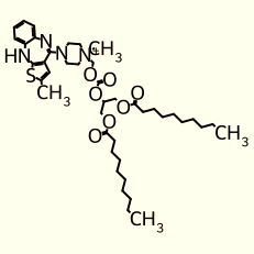 CCCCCCCCCC(=O)OCC(COC(=O)CCCCCCCCC)OC(=O)OC[N+]1(C)CCN(C2=Nc3ccccc3Nc3sc(C)cc32)CC1